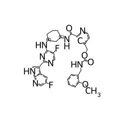 COc1ccccc1CNC(=O)OCc1ccnc(C(=O)N[C@H]2CCC[C@@H](Nc3nc(-c4c[nH]c5ncc(F)cc45)ncc3F)C2)c1